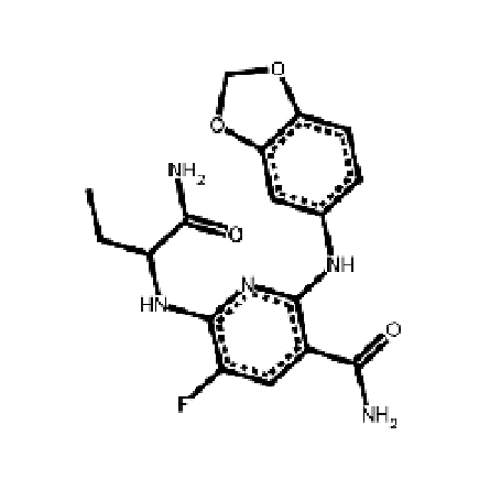 CCC(Nc1nc(Nc2ccc3c(c2)OCO3)c(C(N)=O)cc1F)C(N)=O